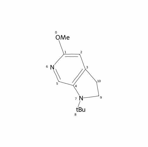 COc1cc2c(cn1)N(C(C)(C)C)CC2